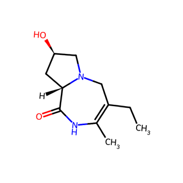 CCC1=C(C)NC(=O)[C@@H]2C[C@@H](O)CN2C1